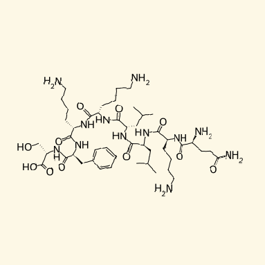 CC(C)C[C@H](NC(=O)[C@H](CC(C)C)NC(=O)[C@H](CCCCN)NC(=O)[C@@H](N)CCC(N)=O)C(=O)N[C@@H](CCCCN)C(=O)N[C@@H](CCCCN)C(=O)N[C@@H](Cc1ccccc1)C(=O)N[C@@H](CO)C(=O)O